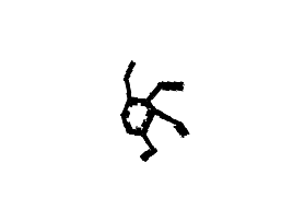 C=Cc1ccc(CC)c(C=C)c1C=C